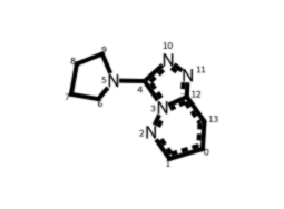 c1cnn2c(N3CCCC3)nnc2c1